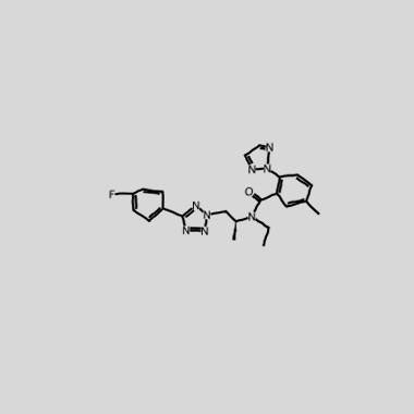 CCN(C(=O)c1cc(C)ccc1-n1nccn1)[C@@H](C)Cn1nnc(-c2ccc(F)cc2)n1